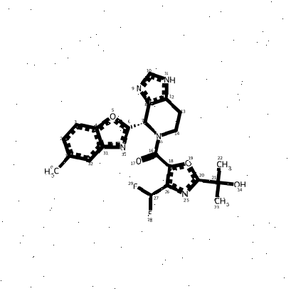 Cc1ccc2oc([C@@H]3c4nc[nH]c4CCN3C(=O)c3oc(C(C)(C)O)nc3C(F)F)nc2c1